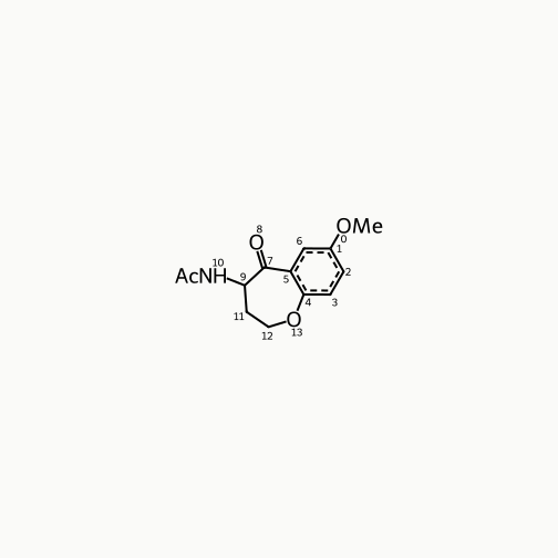 COc1ccc2c(c1)C(=O)C(NC(C)=O)CCO2